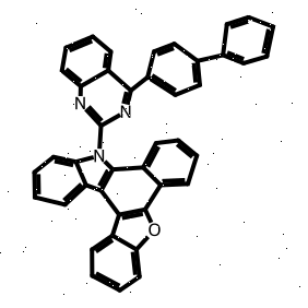 c1ccc(-c2ccc(-c3nc(-n4c5ccccc5c5c6c7ccccc7oc6c6ccccc6c54)nc4ccccc34)cc2)cc1